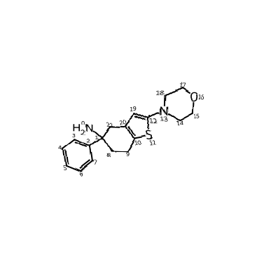 NC1(c2ccccc2)CCc2sc(N3CCOCC3)cc2C1